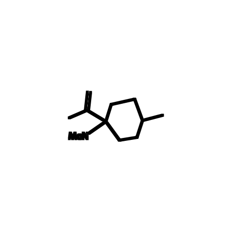 C=C(C)C1(NC)CCC(C)CC1